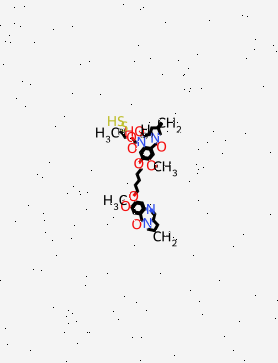 C=C1CC2C=Nc3cc(OCCCCCOc4cc5c(cc4OC)C(=O)N4CC(=C)C[C@H]4[C@H](O)N5C(=O)OC[C@@H](C)SS)c(OC)cc3C(=O)N2C1